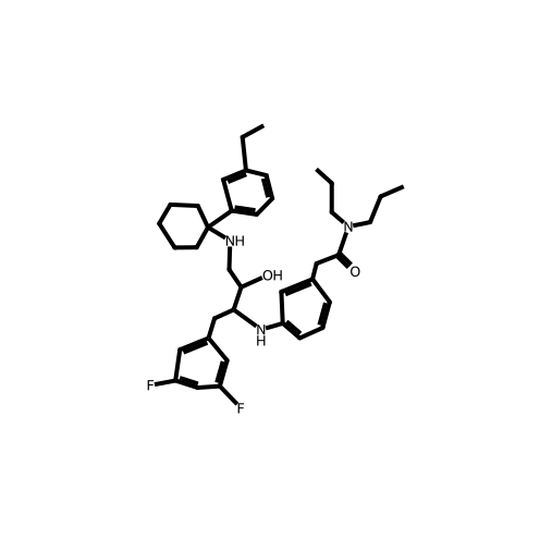 CCCN(CCC)C(=O)Cc1cccc(NC(Cc2cc(F)cc(F)c2)C(O)CNC2(c3cccc(CC)c3)CCCCC2)c1